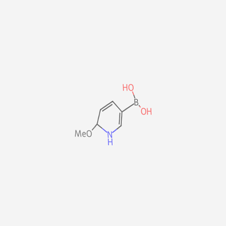 COC1C=CC(B(O)O)=CN1